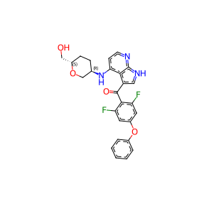 O=C(c1c(F)cc(Oc2ccccc2)cc1F)c1c[nH]c2nccc(N[C@@H]3CC[C@@H](CO)OC3)c12